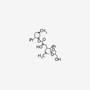 CC(C)C1CC[C@@H](C)C[C@H]1OC(=O)[C@H](O)CC1C[C@@H](C)C[C@@]2(OCC(CO)O2)C1C(C)C